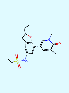 CCC1Cc2cc(NS(=O)(=O)CC)cc(-c3cc(C)c(=O)n(C)c3)c2O1